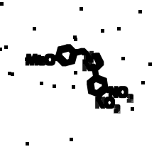 COc1ccc(Cn2ccc(-c3ccc([N+](=O)[O-])c([N+](=O)[O-])c3)n2)cc1